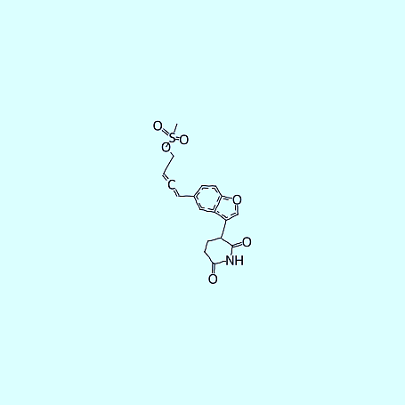 CS(=O)(=O)OCC=C=Cc1ccc2occ(C3CCC(=O)NC3=O)c2c1